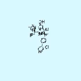 Cc1cn([C@H](C(=O)N2C[C@H](O)C[C@H]2C(=O)N[C@@H](C)c2ccc(-c3ccncc3Cl)cc2)C(C)C)nn1